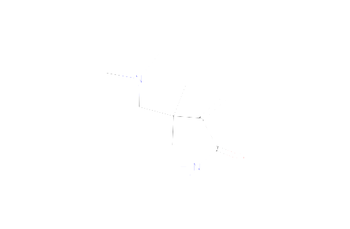 C=C(C(N)=O)C(C)(C)CN(C)C